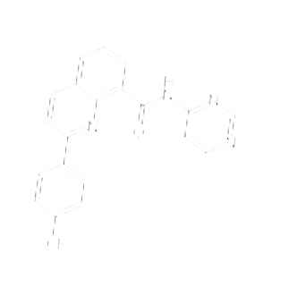 O=C(Nc1ccncn1)c1cccc2ccc(-c3ccc(C(F)(F)F)cc3)nc12